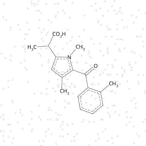 Cc1ccccc1C(=O)c1c(C)cc(C(C)C(=O)O)n1C